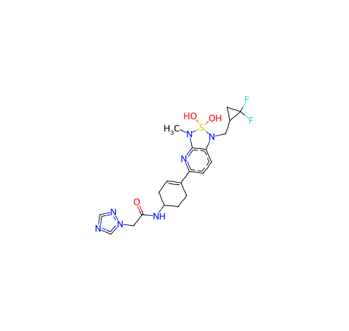 CN1c2nc(C3=CCC(NC(=O)Cn4cncn4)CC3)ccc2N(CC2CC2(F)F)S1(O)O